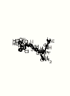 CC(=O)N(CI)CCCC(=O)NCCN[C@H](C(=O)N[C@@H](CCCNC(N)=O)C(=O)Nc1ccc(C(=O)Nc2ccc3[nH]c(C(=O)N4C[C@@H](CCl)c5c4cc(O[C@H]4O[C@H](C(=O)O)[C@@H](O)[C@H](O)[C@H]4O)c4ccccc54)cc3c2)cc1)C(C)C